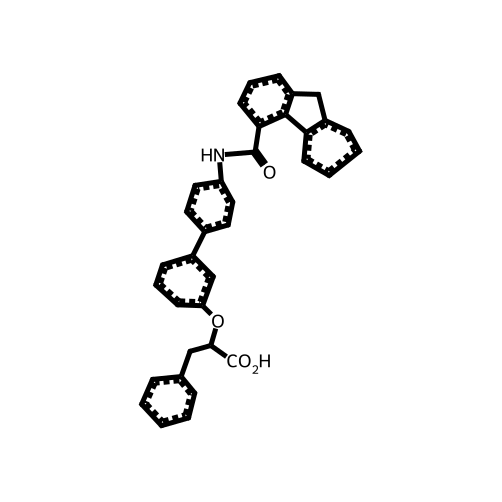 O=C(Nc1ccc(-c2cccc(OC(Cc3ccccc3)C(=O)O)c2)cc1)c1cccc2c1-c1ccccc1C2